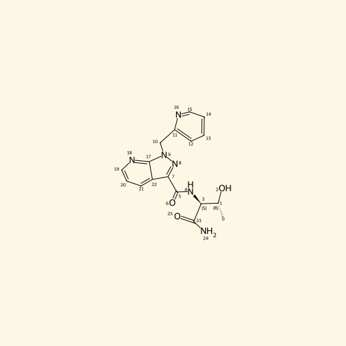 C[C@@H](O)[C@H](NC(=O)c1nn(Cc2ccccn2)c2ncccc12)C(N)=O